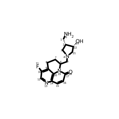 NC[C@H]1CN(CC2CCc3c(F)cnc4ccc(=O)n2c34)C[C@H]1O